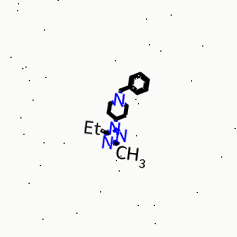 CCc1nc(C)nn1C1CCN(Cc2ccccc2)CC1